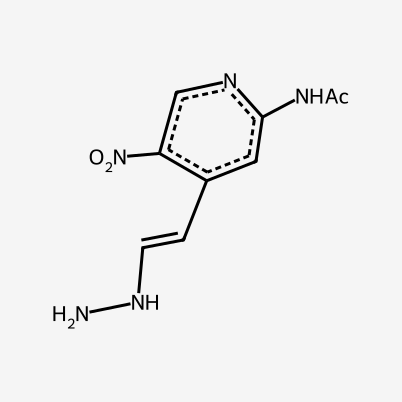 CC(=O)Nc1cc(C=CNN)c([N+](=O)[O-])cn1